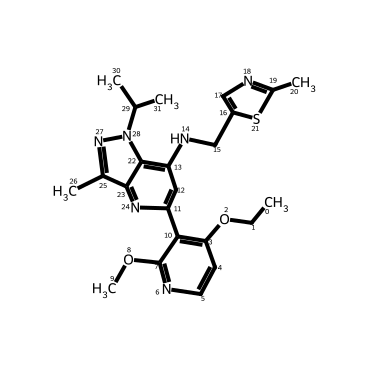 CCOc1ccnc(OC)c1-c1cc(NCc2cnc(C)s2)c2c(n1)c(C)nn2C(C)C